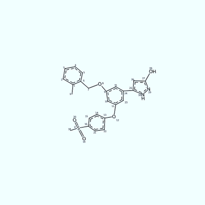 Cc1ccccc1COc1cc(Oc2ccc(S(C)(=O)=O)cc2)cc(-c2cc(O)n[nH]2)c1